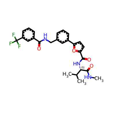 CNC(=O)[C@@H](NC(=O)c1ccc(-c2cccc(CNC(=O)c3cccc(C(F)(F)F)c3)c2)o1)C(C)C